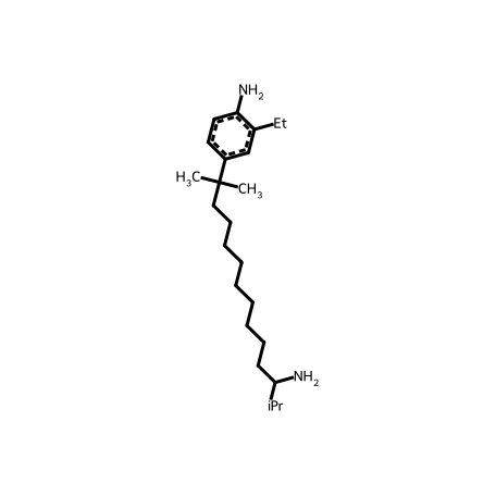 CCc1cc(C(C)(C)CCCCCCCCCC(N)C(C)C)ccc1N